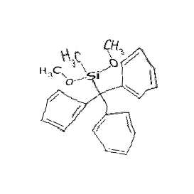 CO[Si](C)(OC)C(c1ccccc1)(c1ccccc1)c1ccccc1